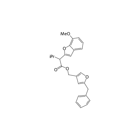 COc1cccc2cc(C(C(=O)OCc3coc(Cc4ccccc4)c3)C(C)C)oc12